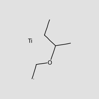 [CH2]COC(C)CC.[Ti]